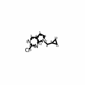 Clc1ncc2ccn(CC3CC3)c2n1